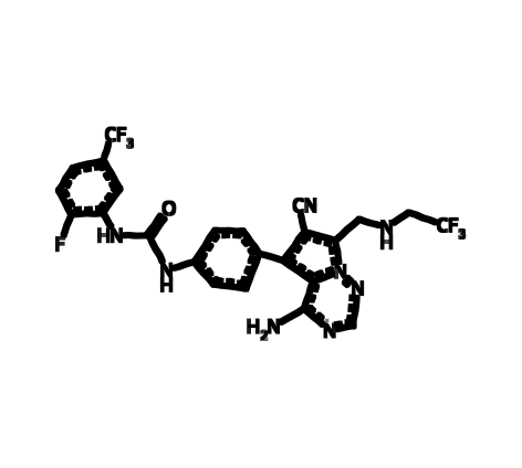 N#Cc1c(-c2ccc(NC(=O)Nc3cc(C(F)(F)F)ccc3F)cc2)c2c(N)ncnn2c1CNCC(F)(F)F